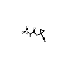 N#CC1(OC(=O)N[SH](=O)=O)CC1